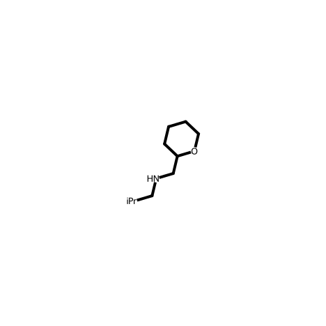 CC(C)CNCC1CCCCO1